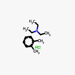 CCN(CC)CC.Cc1ccccc1C.Cl